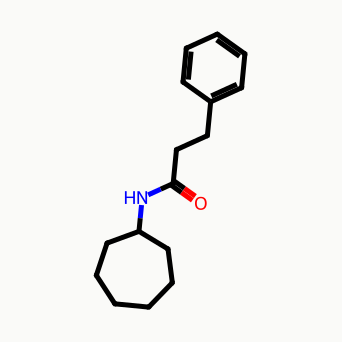 O=C(CCc1ccccc1)NC1CCCCCC1